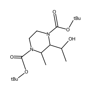 CC(O)C1C(C)N(C(=O)OC(C)(C)C)CCN1C(=O)OC(C)(C)C